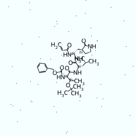 C=CC(=O)N[C@H](C[C@@H]1CCNC1=O)NC(=O)[C@H](CC(C)C)NC(=O)[C@@H](NC(=O)OCc1ccccc1)[C@@H](C)OC(C)(C)C